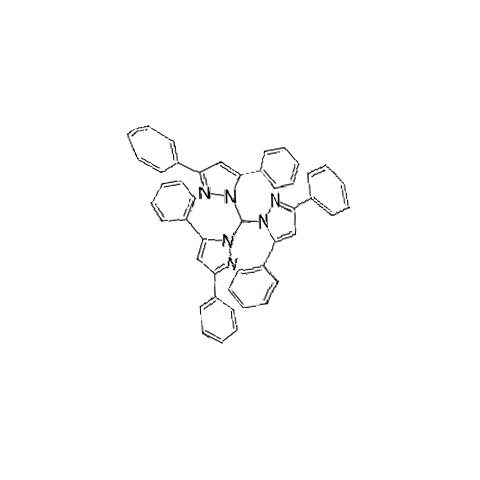 c1ccc(-c2cc(-c3ccccc3)n(C(n3nc(-c4ccccc4)cc3-c3ccccc3)n3nc(-c4ccccc4)cc3-c3ccccc3)n2)cc1